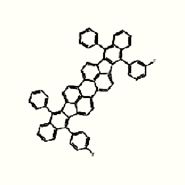 Fc1ccc(-c2c3c(c(-c4ccccc4)c4ccccc24)-c2ccc4c5ccc6c7c(ccc(c8ccc-3c2c48)c75)-c2c-6c(-c3ccccc3)c3ccccc3c2-c2cccc(F)c2)cc1